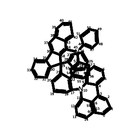 c1ccc(-c2ccccc2N(c2ccccc2)c2cccc3c2-c2ccccc2C32c3ccccc3-c3cc4ccccc4c(N(c4ccccc4)c4ccccc4)c32)cc1